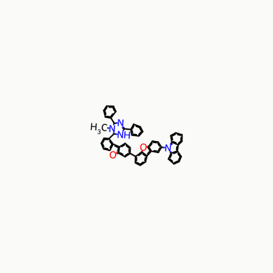 CN1C(c2ccccc2)N=C(c2ccccc2)NC1c1cccc2oc3cc(-c4cccc5c4oc4ccc(-n6c7ccccc7c7ccccc76)cc45)ccc3c12